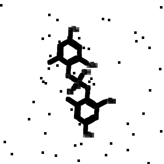 CCCCc1cc(C)c(O[PH](O)(CC)Oc2c(C)cc(CCCC)cc2CCCC)c(CCCC)c1